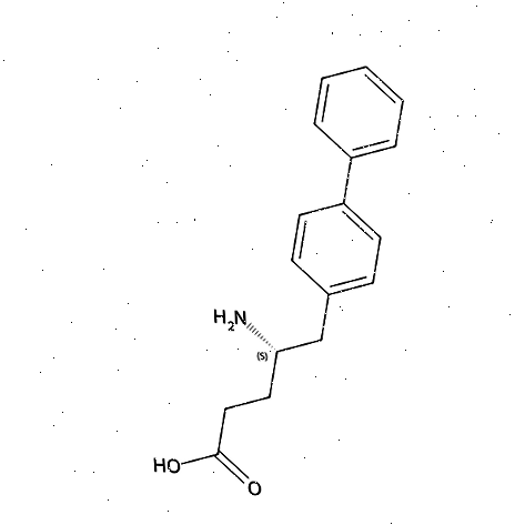 N[C@@H](CCC(=O)O)Cc1ccc(-c2ccccc2)cc1